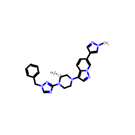 C[C@@H]1CN(c2cnn3cc(-c4cnn(C)c4)ccc23)CCN1c1ncn(Cc2ccccc2)n1